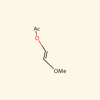 COC=COC(C)=O